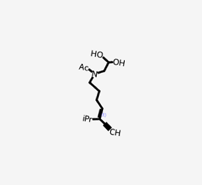 C#C/C(=C/CCCN(CC(O)O)C(C)=O)C(C)C